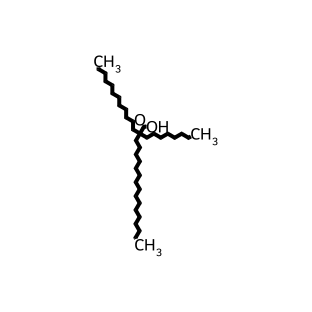 CCCCCCCCCCCCCCCCC(CCCCCCCC)(CCCCCCCCCCCC)C(=O)O